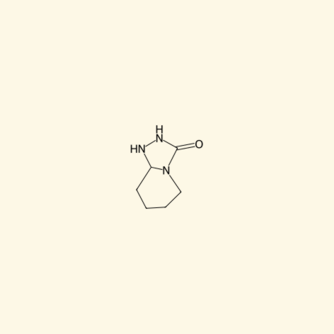 O=C1NNC2CCCCN12